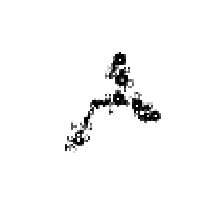 COc1cc2c(cc1OCc1cc(COc3cc4c(cc3OC)C(=O)N3c5ccccc5C[C@H]3CN4)cc(NC(=O)CCC(C)(C)SSCCCC(=O)NCCN3C(=O)CC(S)C3=O)c1)N=C[C@@H]1Cc3ccccc3N1C2=O